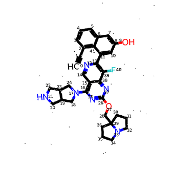 C#Cc1cccc2cc(O)cc(-c3ncc4c(N5CC6CNCC6C5)nc(OCC56CCCN5CCC6)nc4c3F)c12